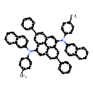 Cc1ccc(N(c2ccc3ccccc3c2)c2cc3cc(-c4ccccc4)cc4c(N(c5ccc(C)cc5)c5ccc6ccccc6c5)cc5cc(-c6ccccc6)cc2c5c34)cc1